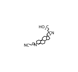 C[C@]12CCC3=C4CCC(=NOCCC#N)C=C4CCC3C1CC[C@]2(CC#N)CCCCC(=O)O